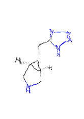 C1NC[C@H]2[C@@H]1[C@@H]2Cc1nnn[nH]1